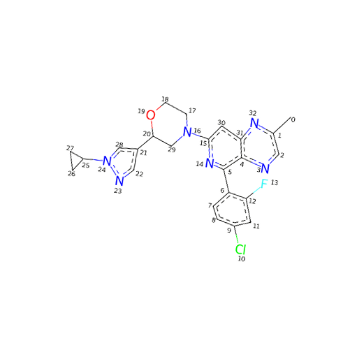 Cc1cnc2c(-c3ccc(Cl)cc3F)nc(N3CCOC(c4cnn(C5CC5)c4)C3)cc2n1